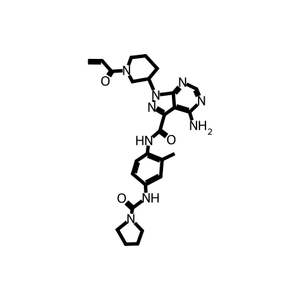 C=CC(=O)N1CCCC(n2nc(C(=O)Nc3ccc(NC(=O)N4CCCC4)cc3C)c3c(N)ncnc32)C1